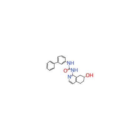 O=C(Nc1cccc(-c2ccccc2)c1)Nc1nccc2c1CC(O)CC2